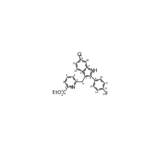 CCOC(=O)c1cccc(Cc2c(-c3ccc(F)cc3)[nH]c3cc(Cl)ccc23)n1